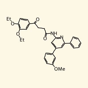 CCOc1ccc(C(=O)CCC(=O)Nc2cc(-c3cccc(OC)c3)cc(-c3ccccc3)n2)cc1OCC